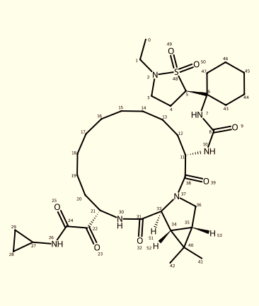 CCN1CC[C@H](C2(NC(=O)N[C@H]3CCCCCCCCC[C@@H](C(=O)C(=O)NC4CC4)NC(=O)[C@@H]4[C@@H]5[C@H](CN4C3=O)C5(C)C)CCCCC2)S1(=O)=O